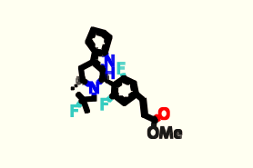 COC(=O)C=Cc1cc(F)c([C@@H]2c3[nH]c4ccccc4c3C[C@@H](C)N2CC(C)(C)F)c(F)c1